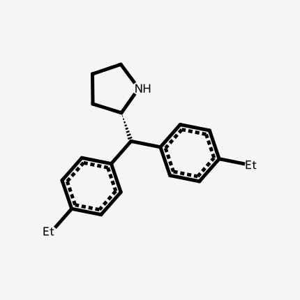 CCc1ccc(C(c2ccc(CC)cc2)[C@@H]2CCCN2)cc1